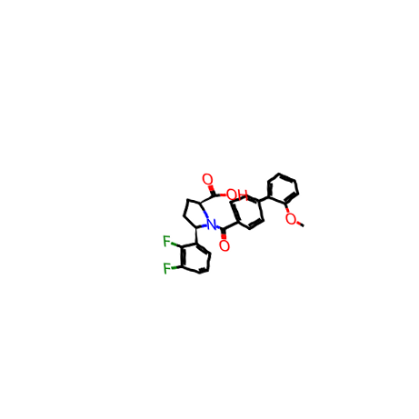 COc1ccccc1-c1ccc(C(=O)N2[C@@H](c3cccc(F)c3F)CC[C@H]2C(=O)O)cc1